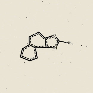 Nc1nc2c(ccc3ccccc32)o1